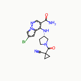 N#CC1(C(=O)N2CC[C@H](Nc3c(C(N)=O)cnn4cc(Br)cc34)C2)CC1